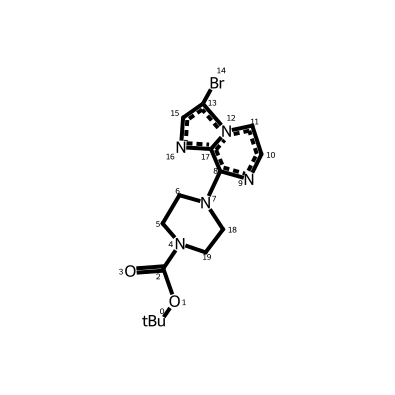 CC(C)(C)OC(=O)N1CCN(c2nccn3c(Br)cnc23)CC1